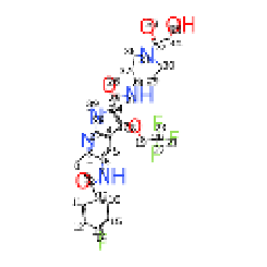 Cc1nc2c(cc1NC(=O)c1ccc(F)cc1)c(OCC(F)(F)F)c(C(=O)NC1CCN(C(=O)CO)CC1)n2C